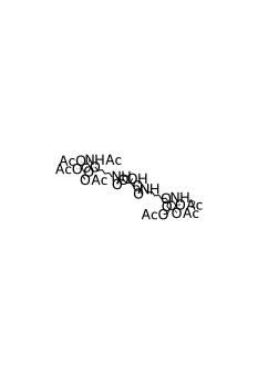 CC(=O)N[C@H]1[C@H](OCCCCCNC(=O)OCC(O)COC(=O)NCCCCCO[C@@H]2O[C@H](COC(C)=O)[C@H](OC(C)=O)[C@H](OC(C)=O)[C@H]2N)O[C@H](COC(C)=O)[C@H](OC(C)=O)[C@@H]1OC(C)=O